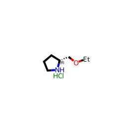 CCOC[C@H]1CCCN1.Cl